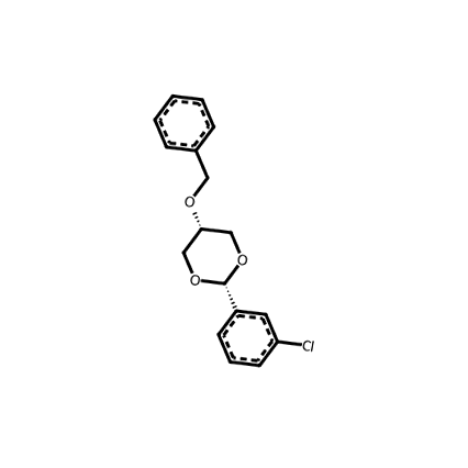 Clc1cccc([C@H]2OC[C@@H](OCc3ccccc3)CO2)c1